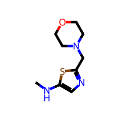 CNc1cnc(CN2CCOCC2)s1